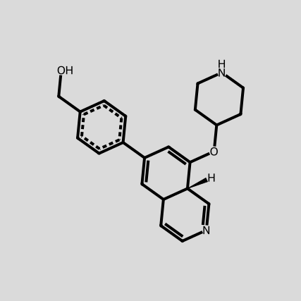 OCc1ccc(C2=CC3C=CN=C[C@H]3C(OC3CCNCC3)=C2)cc1